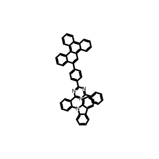 c1ccc(-c2nc(-c3ccc(-c4cc5c6ccccc6c6ccccc6c5c5ccccc45)cc3)nc(-c3ccccc3-n3c4ccccc4c4ccccc43)n2)cc1